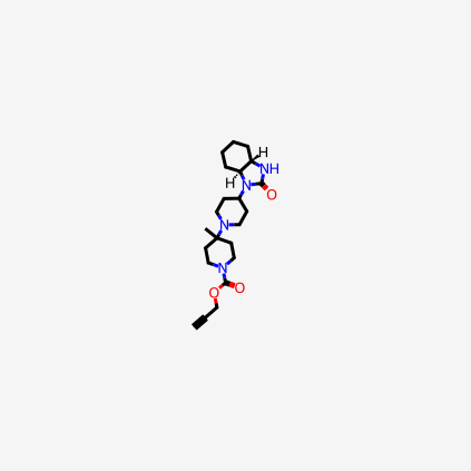 C#CCOC(=O)N1CCC(C)(N2CCC(N3C(=O)N[C@H]4CCCC[C@@H]43)CC2)CC1